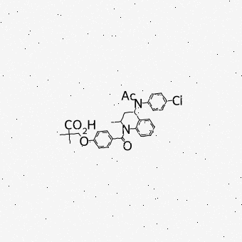 CC(=O)N(c1ccc(Cl)cc1)C1CC(C)N(C(=O)c2ccc(OCC(C)(C)C(=O)O)cc2)c2ccccc21